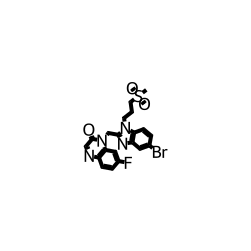 CS(=O)(=O)CCCn1c(Cn2c(=O)cnc3ccc(F)cc32)nc2cc(Br)ccc21